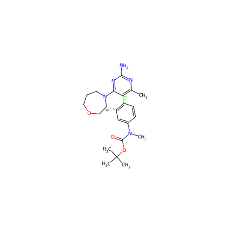 Cc1cc(N2CCCOC[C@H]2c2cc(N(C)C(=O)OC(C)(C)C)ccc2Cl)nc(N)n1